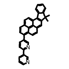 CC1(C)c2ccccc2-c2c1cc1ccc3c(-c4ccc(-c5cccnc5)nc4)ccc4ccc2c1c43